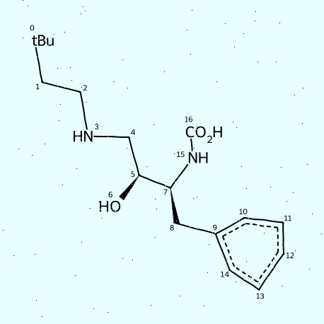 CC(C)(C)CCNC[C@H](O)[C@H](Cc1ccccc1)NC(=O)O